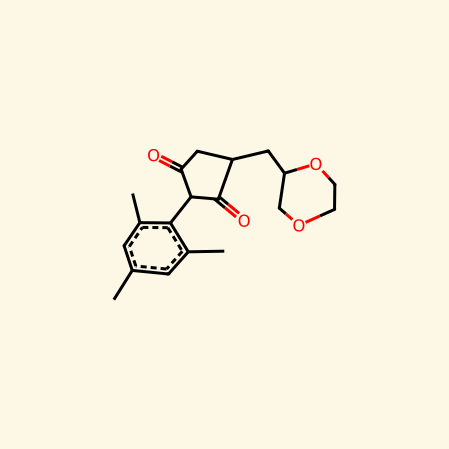 Cc1cc(C)c(C2C(=O)CC(CC3COCCO3)C2=O)c(C)c1